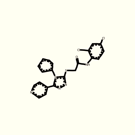 O=C(CSc1nnc(-c2ccncc2)n1-c1ccccc1)Nc1ccc(Cl)cc1Cl